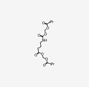 CC(C)C(=O)OCOC(=O)NCCSC(=O)OCOC(=O)C(C)C